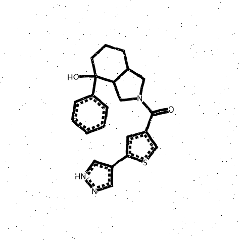 O=C(c1csc(-c2cn[nH]c2)c1)N1CC2CCCC(O)(c3ccccc3)C2C1